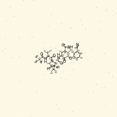 CC(C)[C@H](NC(=O)C(F)(F)F)C(=O)N1C[C@H]2[C@@H]([C@H]1C(=O)N[C@@H](C[C@@H]1CCNC1=O)C(=O)COc1cccc(C#N)c1)C2(C)C